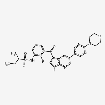 CCC(C)S(=O)(=O)Nc1cccc(C(=O)c2c[nH]c3ncc(-c4cnc(N5CCOCC5)nc4)cc23)c1F